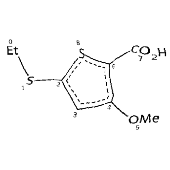 CCSc1cc(OC)c(C(=O)O)s1